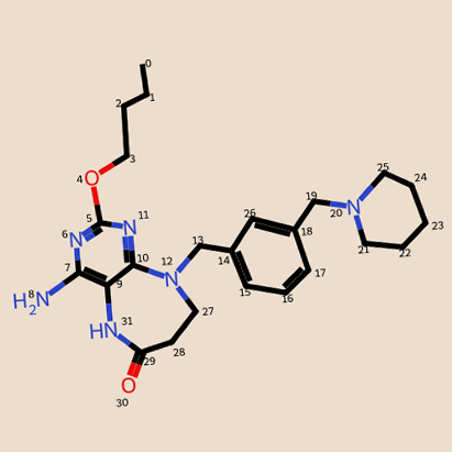 CCCCOc1nc(N)c2c(n1)N(Cc1cccc(CN3CCCCC3)c1)CCC(=O)N2